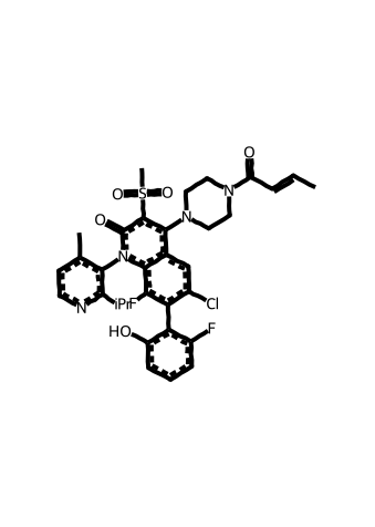 C/C=C/C(=O)N1CCN(c2c(S(C)(=O)=O)c(=O)n(-c3c(C)ccnc3C(C)C)c3c(F)c(-c4c(O)cccc4F)c(Cl)cc23)CC1